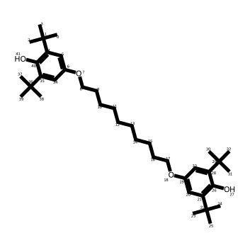 CC(C)(C)c1cc(OCCCCCCCCCCOc2cc(C(C)(C)C)c(O)c(C(C)(C)C)c2)cc(C(C)(C)C)c1O